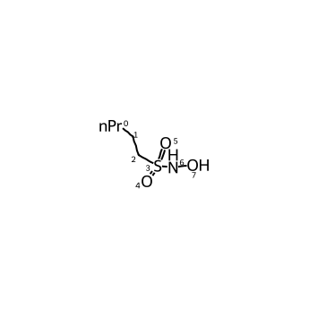 CCCCCS(=O)(=O)NO